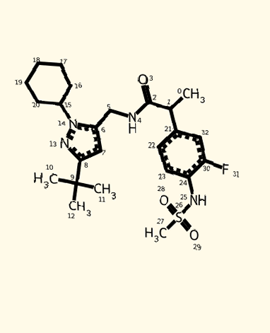 CC(C(=O)NCc1cc(C(C)(C)C)nn1C1CCCCC1)c1ccc(NS(C)(=O)=O)c(F)c1